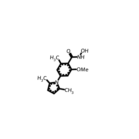 COc1cc(-n2c(C)ccc2C)cc(C)c1C(=O)NO